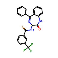 O=C1Nc2ccccc2C(c2ccccc2)=NC1NC(=S)c1cccc(C(F)(F)F)c1